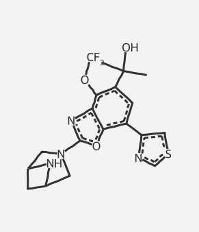 CC(C)(O)c1cc(-c2cscn2)c2oc(N3CC4CC(C3)N4)nc2c1OC(F)(F)F